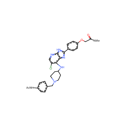 CNC(=O)COc1ccc(-c2nc3c(NC4CCN(Cc5ccc(NC(C)=O)cc5)CC4)c(Cl)cnc3[nH]2)cc1